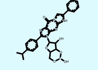 CC(C)c1ccc(-c2nc3c(=O)n4cc(-c5ccccc5)[nH]c4nc3n2C2OC3COP(O)OC3C2O)cc1